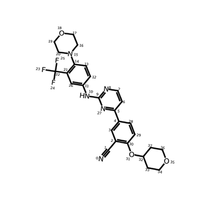 N#Cc1cc(-c2ccnc(Nc3ccc(N4CCOCC4)c(C(F)(F)F)c3)n2)ccc1OC1CCOCC1